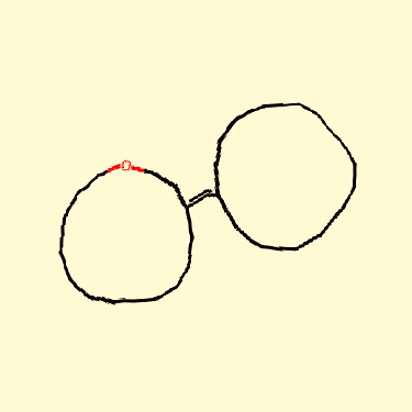 C1CCCCCCCC(=C2CCCCCCCCCCCOCC2)CCCCCC1